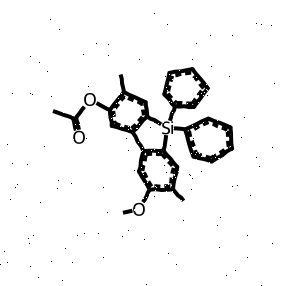 COc1cc2c(cc1C)[Si](c1ccccc1)(c1ccccc1)c1cc(C)c(OC(C)=O)cc1-2